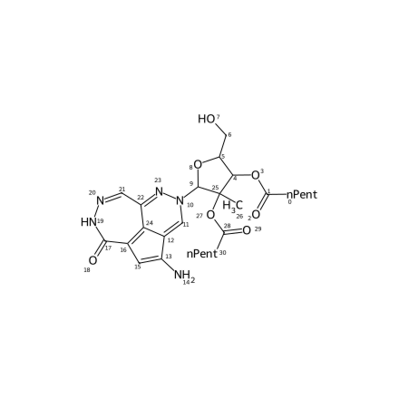 CCCCCC(=O)OC1C(CO)OC(n2cc3c(N)cc4c(=O)[nH]ncc(n2)c34)C1(C)OC(=O)CCCCC